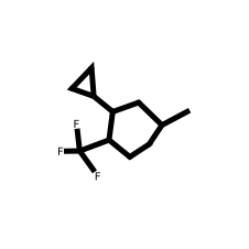 CC1[CH]CC(C(F)(F)F)C(C2CC2)C1